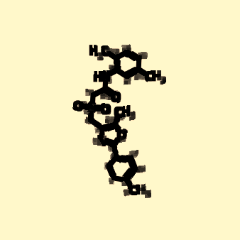 Cc1ccc(-c2nc(CS(=O)(=O)CC(=O)Nc3cc(C)ccc3C)c(C)o2)cc1